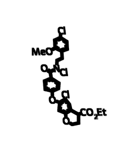 CCOC(=O)C1CCOc2cc(Oc3ccc(C(=O)N(Cl)CCc4ccc(Cl)cc4OC)cc3)c(Cl)cc21